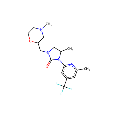 Cc1cc(C(F)(F)F)cc(N2C(=O)N(CC3CN(C)CCO3)CC2C)n1